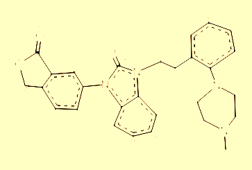 CN1CCN(c2ccccc2CCn2c(=O)n(-c3ccc4c(c3)C(=O)OC4)c3ccccc32)CC1